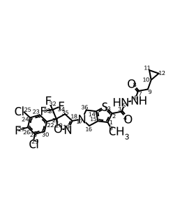 Cc1c(C(=O)NNC(=O)CC2CC2)sc2c1CN(C1=NOC(c3cc(Cl)c(F)c(Cl)c3)(C(F)(F)F)C1)C2